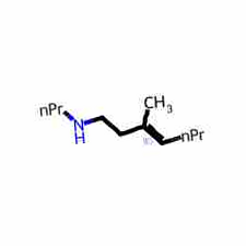 CCC/C=C(\C)CCNCCC